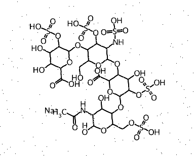 CC(=O)NC1C(O)OC(COS(=O)(=O)O)C(OC2OC(C(=O)O)C(OC3OC(CO)C(OC4OC(C(=O)O)C(O)C(O)C4OS(=O)(=O)O)C(OS(=O)(=O)O)C3NS(=O)(=O)O)C(O)C2OS(=O)(=O)O)C1O.[Na+]